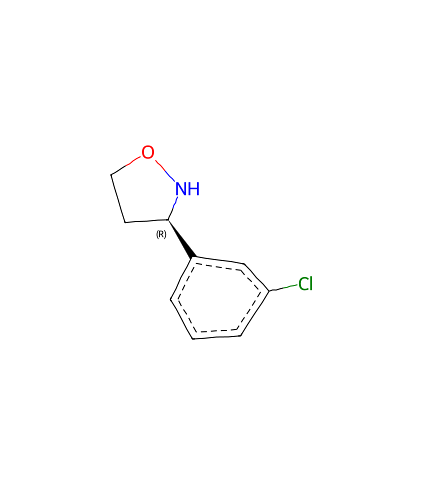 Clc1cccc([C@H]2CCON2)c1